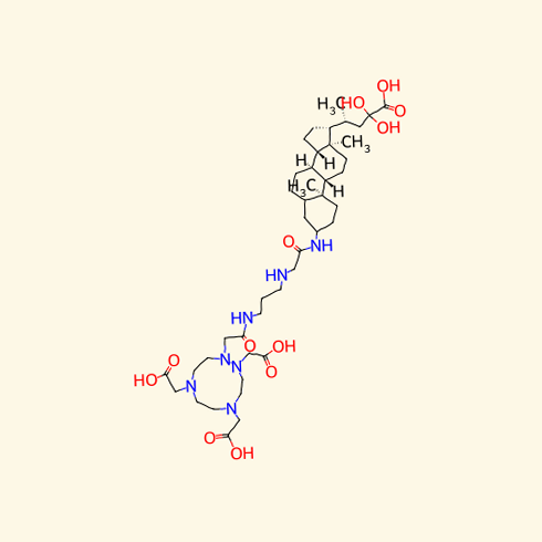 C[C@H](CC(O)(O)C(=O)O)[C@H]1CC[C@H]2[C@@H]3CCC4CC(NC(=O)CNCCCNC(=O)CN5CCN(CC(=O)O)CCN(CC(=O)O)CCN5CC(=O)O)CC[C@]4(C)[C@H]3CC[C@]12C